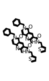 Cc1nc2ccn(Cc3ccccc3)c(=O)c2cc1C(=O)NCc1cccs1.Cc1nc2ccn(Cc3ccccc3)c(=O)c2cc1C(=O)NCc1cccs1